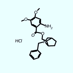 COc1cc(N)c(C(=O)OCC2C3CCC2N(Cc2ccccc2)C3)cc1OC.Cl